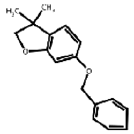 CC1(C)COc2cc(OCc3ccccc3)ccc21